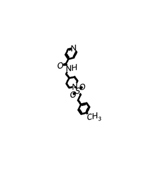 Cc1ccc(CCS(=O)(=O)N2CCC(CNC(=O)c3ccncc3)CC2)cc1